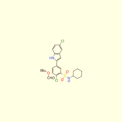 CC(C)(C)OC=O.O=S(=O)(NC1CCCCC1)c1cc(-c2cc3cc(Cl)ccc3[nH]2)ccc1Cl